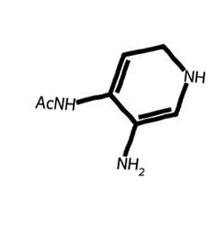 CC(=O)NC1=CCNC=C1N